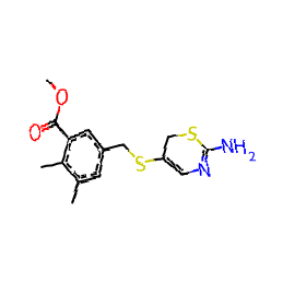 COC(=O)c1cc(CSC2=CN=C(N)SC2)cc(C)c1C